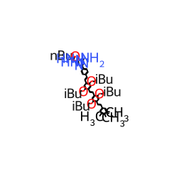 CCCCNC(=O)Nc1nc(N)nc(-c2ccc(/C=C/c3cc(OCC(C)CC)c(/C=C/c4cc(OCC(C)CC)c(/C=C/c5cc(C)c(C)c(C)c5)cc4OCC(C)CC)cc3OCC(C)CC)cc2)n1